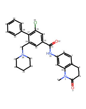 CN1C(=O)CCc2ccc(NC(=O)c3cc(Cl)c(-c4ccccc4)c(CN4CCCCC4)c3)cc21